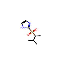 CC(C)C(C)S(=O)(=O)c1ncc[nH]1